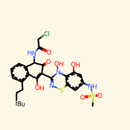 CC(C)(C)CCc1cccc2c1C(O)=C(C1=NSc3cc(NS(C)(=O)=O)cc(O)c3N1O)C(=O)C2NC(=O)CCl